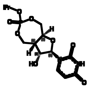 CC(C)OP1(=O)OC[C@H]2[C@@H](O)[C@H](n3ccc(=O)[nH]c3=O)O[C@@H]2CO1